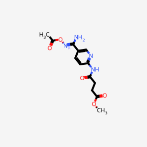 COC(=O)CCC(=O)Nc1ccc(/C(N)=N/OC(C)=O)cn1